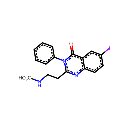 O=C(O)NCCc1nc2ccc(I)cc2c(=O)n1-c1ccccc1